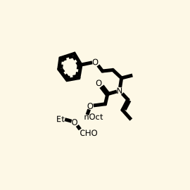 CC=CN(C(=O)COCCCCCCCC)C(C)CCOc1ccccc1.CCOC=O